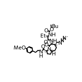 CC[C@H](NC(=O)OC(C)(C)C)C(=O)N[C@@H]1C(=O)N2[C@@H](CC[C@@H]1CN=[N+]=[N-])CC[C@H]2C(=O)NCCc1ccc(OC)cc1